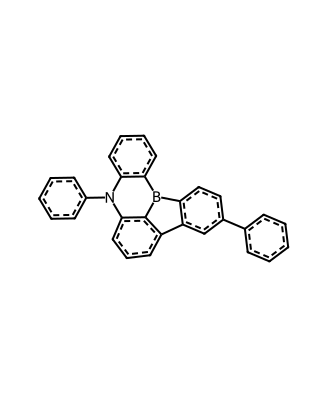 c1ccc(-c2ccc3c(c2)-c2cccc4c2B3c2ccccc2N4c2ccccc2)cc1